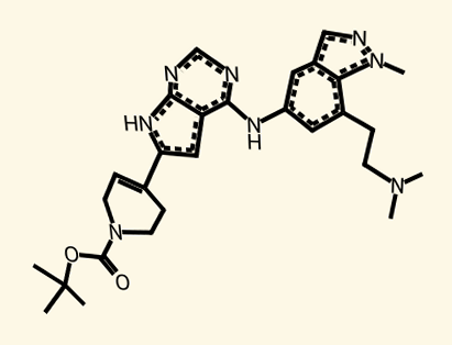 CN(C)CCc1cc(Nc2ncnc3[nH]c(C4=CCN(C(=O)OC(C)(C)C)CC4)cc23)cc2cnn(C)c12